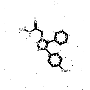 COc1ccc(-c2nnn(CC(=O)OC(C)(C)C)c2-c2ccccc2)cc1